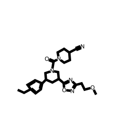 CCc1ccc(C2CC(c3nc(CCOC)no3)CN(C(=O)N3CCC(C#N)CC3)C2)cc1